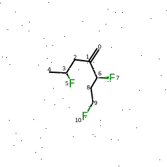 C=C(CC(C)F)[C@@H](F)CCF